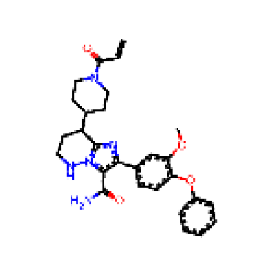 C=CC(=O)N1CCC(C2CCNn3c2nc(-c2ccc(Oc4ccccc4)c(OC)c2)c3C(N)=O)CC1